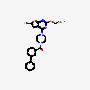 CCc1cc2c(N3CCN(C(=O)c4cccc(-c5ccccc5)c4)CC3)nc(SCC(=O)O)nc2s1